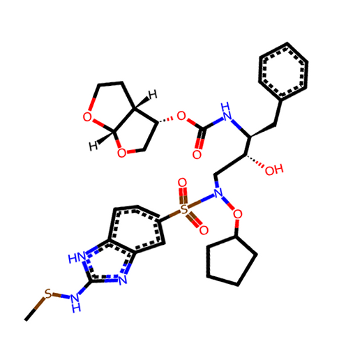 CSNc1nc2cc(S(=O)(=O)N(C[C@@H](O)[C@H](Cc3ccccc3)NC(=O)O[C@@H]3CO[C@@H]4OCC[C@@H]43)OC3CCCC3)ccc2[nH]1